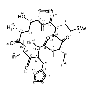 CSCC[C@H](NC(=O)[C@H](CC(C)C)NC(=O)OC(C)(C)C)C(=O)N[C@@H](CC(C)C)[C@@H](O)C[C@@H](C)C(=O)N[C@H](C(=O)NCc1ccco1)C(C)C